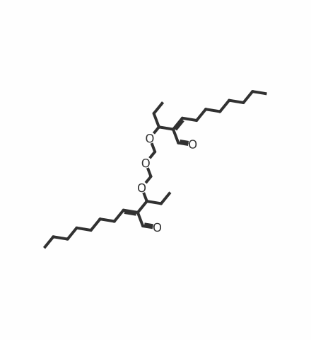 CCCCCCCC=C(C=O)C(CC)OCOCOC(CC)C(C=O)=CCCCCCCC